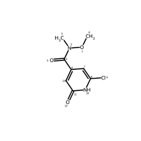 CON(C)C(=O)c1cc(Cl)[nH]c(=O)c1